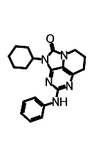 O=c1n2c3c(nc(Nc4ccccc4)nc3n1C1CCCCC1)CCC2